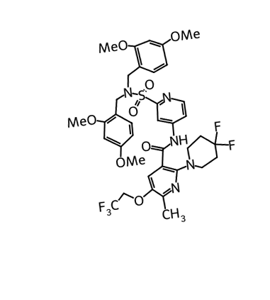 COc1ccc(CN(Cc2ccc(OC)cc2OC)S(=O)(=O)c2cc(NC(=O)c3cc(OCC(F)(F)F)c(C)nc3N3CCC(F)(F)CC3)ccn2)c(OC)c1